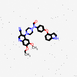 CCOc1cc2ncc(C#N)c(N3CCN(N(C=O)c4ccc(Oc5cccc6[nH]ccc56)cc4)CC3)c2cc1OC